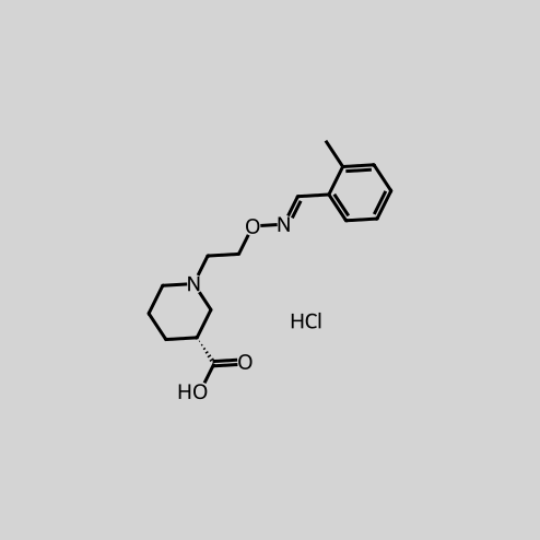 Cc1ccccc1/C=N/OCCN1CCC[C@@H](C(=O)O)C1.Cl